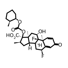 C[C@@H]1C[C@H]2[C@@H]3C[C@H](F)C4=CC(=O)C=C[C@]4(C)[C@@]3(F)[C@@H](O)C[C@]2(C)[C@@]1(OC(=O)O[C@@H]1CCCC[C@@H]1C)C(=O)O